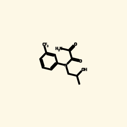 CC(O)CN(C(=O)C(N)=O)c1cccc(C(F)(F)F)c1